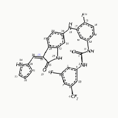 O=C(Nc1cc(F)cc(C(F)(F)F)c1)Nc1ccc(F)c(Nc2ccc3c(c2)NC(=O)/C3=C\c2ccc[nH]2)c1